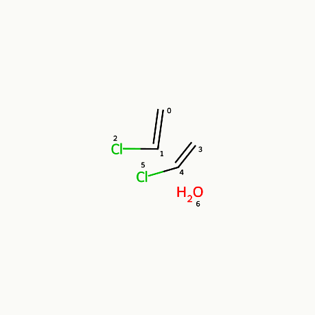 C=CCl.C=CCl.O